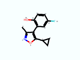 Cc1noc(C2CC2)c1-c1cc(F)ccc1O